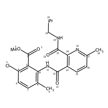 COC(=O)c1c(Cl)ccc(C)c1NC(=O)c1ccc(C)nc1C(=O)NCC(C)C